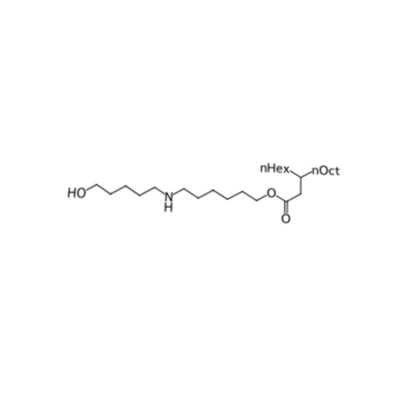 CCCCCCCCC(CCCCCC)CC(=O)OCCCCCCNCCCCCO